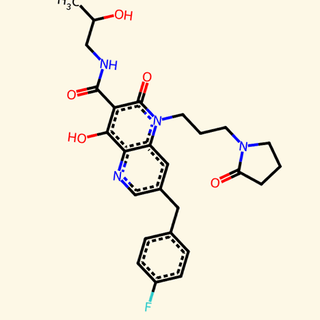 CC(O)CNC(=O)c1c(O)c2ncc(Cc3ccc(F)cc3)cc2n(CCCN2CCCC2=O)c1=O